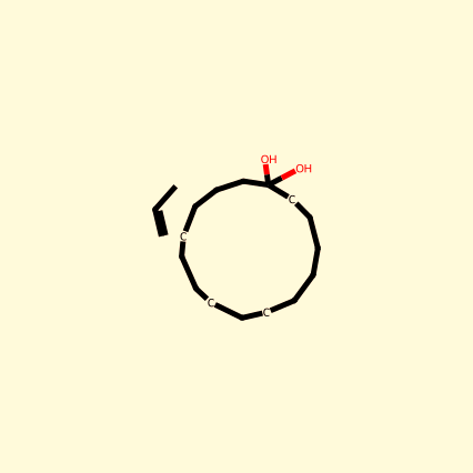 C=CC.OC1(O)CCCCCCCCCCCCCC1